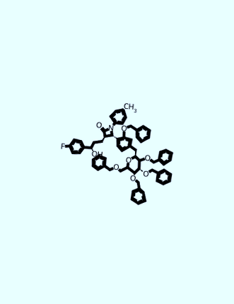 Cc1ccc(N2C(=O)[C@H](CC[C@H](O)c3ccc(F)cc3)[C@H]2c2ccc(C[C@@H]3OC(COCc4ccccc4)[C@@H](OCc4ccccc4)[C@@H](OCc4ccccc4)C3OCc3ccccc3)cc2OCc2ccccc2)cc1